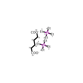 CC[P+](CC)(CC)CC.CC[P+](CC)(CC)CC.O=C([O-])CCCCC(=O)[O-]